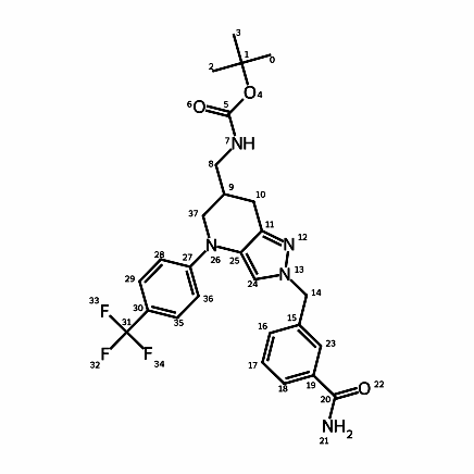 CC(C)(C)OC(=O)NCC1Cc2nn(Cc3cccc(C(N)=O)c3)cc2N(c2ccc(C(F)(F)F)cc2)C1